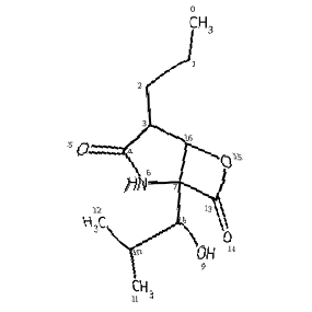 CCCC1C(=O)NC2(C(O)C(C)C)C(=O)OC12